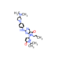 C=CCn1c(=O)c2cnc(Nc3ccc(N4CC[C@H](N(C)C)C4)cc3)nc2n1-c1ccc(=O)n(C(C)C)n1